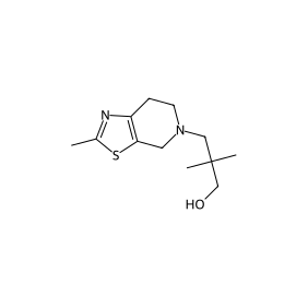 Cc1nc2c(s1)CN(CC(C)(C)CO)CC2